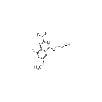 CCc1cc(F)c2nc(C(F)F)nc(OCCO)c2c1